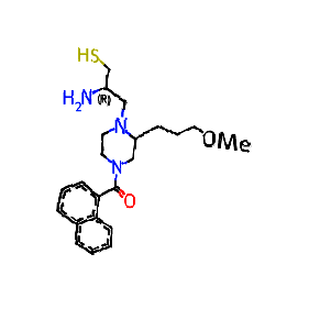 COCCCC1CN(C(=O)c2cccc3ccccc23)CCN1C[C@@H](N)CS